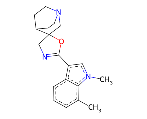 Cc1cccc2c(C3=NCC4(CN5CCC4CC5)O3)cn(C)c12